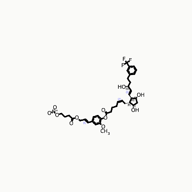 COc1cc(/C=C/COC(=O)CCCO[N+](=O)[O-])ccc1OC(=O)CCC/C=C\C[C@@H]1[C@@H](/C=C/[C@@H](O)CCc2cccc(C(F)(F)F)c2)[C@H](O)C[C@@H]1O